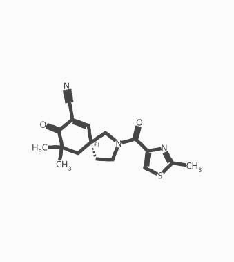 Cc1nc(C(=O)N2CC[C@]3(C=C(C#N)C(=O)C(C)(C)C3)C2)cs1